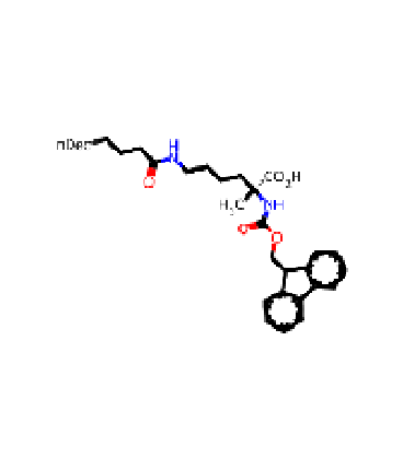 CCCCCCCCCCCCCC(=O)NCCCC[C@](C)(NC(=O)OCC1c2ccccc2-c2ccccc21)C(=O)O